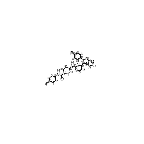 O=C(Nc1ccc(F)cc1)N1CCC(Nc2nccc(C3C(c4ccc(F)cc4)N=C4OC=CN43)n2)CC1